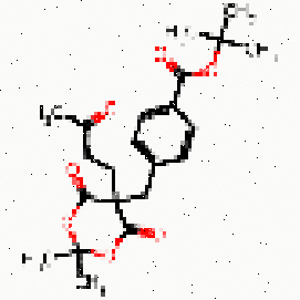 CC(=O)CCC1(Cc2ccc(C(=O)OC(C)(C)C)cc2)C(=O)OC(C)(C)OC1=O